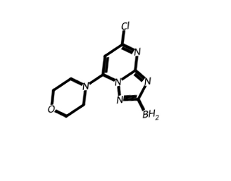 Bc1nc2nc(Cl)cc(N3CCOCC3)n2n1